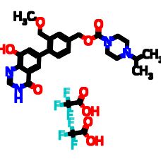 COCc1cc(COC(=O)N2CCN(C(C)C)CC2)ccc1-c1cc(O)c2nc[nH]c(=O)c2c1.O=C(O)C(F)(F)F.O=C(O)C(F)(F)F